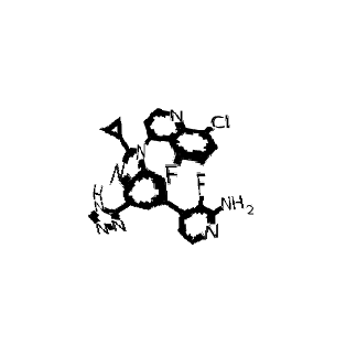 Nc1nccc(-c2cc(-c3nnc[nH]3)c3nc(C4CC4)n(-c4ccnc5c(Cl)ccc(F)c45)c3c2)c1F